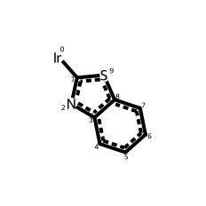 [Ir][c]1nc2ccccc2s1